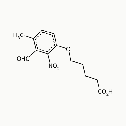 Cc1ccc(OCCCCC(=O)O)c([N+](=O)[O-])c1C=O